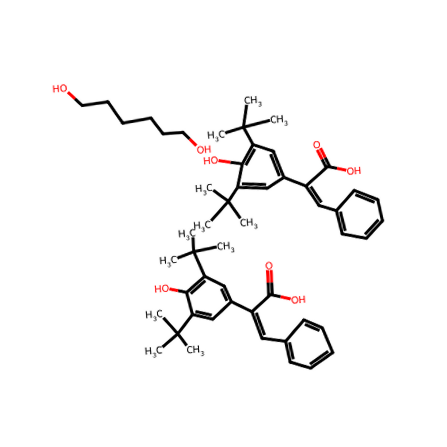 CC(C)(C)c1cc(C(=Cc2ccccc2)C(=O)O)cc(C(C)(C)C)c1O.CC(C)(C)c1cc(C(=Cc2ccccc2)C(=O)O)cc(C(C)(C)C)c1O.OCCCCCCO